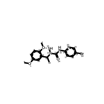 COc1ccc(OC)c(C(C)N(S)C(=O)Nc2ccc(Br)cn2)c1